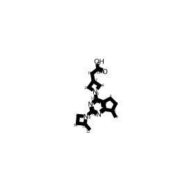 CC1CCc2c1nc(N1CCC1C)nc2N1CC(CC(=O)O)C1